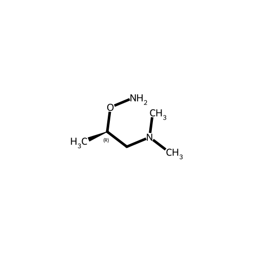 C[C@H](CN(C)C)ON